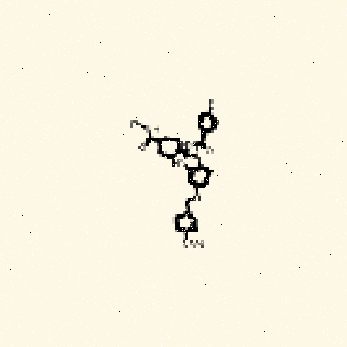 COc1ccc(COc2ccc3c(c2)NC(NC(=O)c2ccc(F)cc2)(C2CCC(C(=O)NC(C)C)CC2)N3)cc1